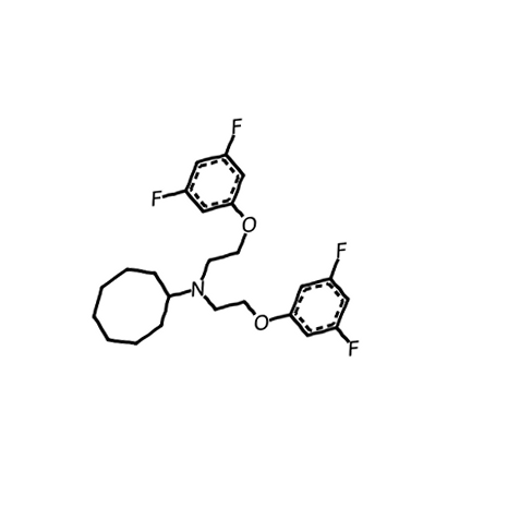 Fc1cc(F)cc(OCCN(CCOc2cc(F)cc(F)c2)C2CCCCCCC2)c1